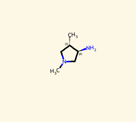 C[C@H]1CN(C)C[C@@H]1N